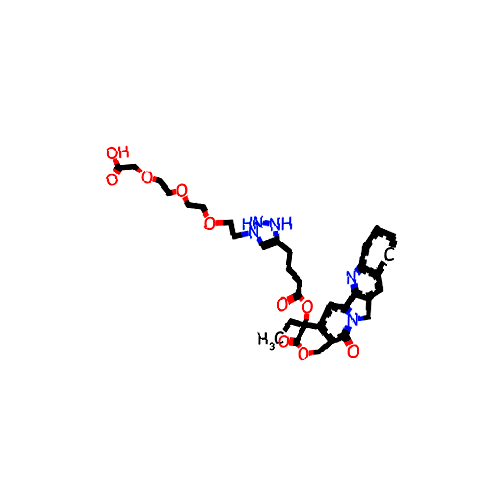 CCC1(OC(=O)CCCC2=CN(CCOCCOCCOCC(=O)O)NN2)C(=O)OCc2c1cc1n(c2=O)Cc2cc3ccccc3nc2-1